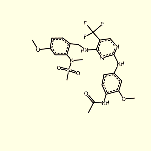 COc1ccc(CNc2nc(Nc3ccc(NC(C)=O)c(OC)c3)ncc2C(F)(F)F)c(N(C)S(C)(=O)=O)c1